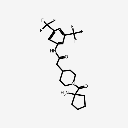 NC1(C(=O)N2CCC(CC(=O)Nc3cc(C(F)(F)F)cc(C(F)(F)F)c3)CC2)CCCC1